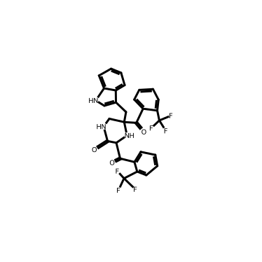 O=C1NCC(Cc2c[nH]c3ccccc23)(C(=O)c2ccccc2C(F)(F)F)NC1C(=O)c1ccccc1C(F)(F)F